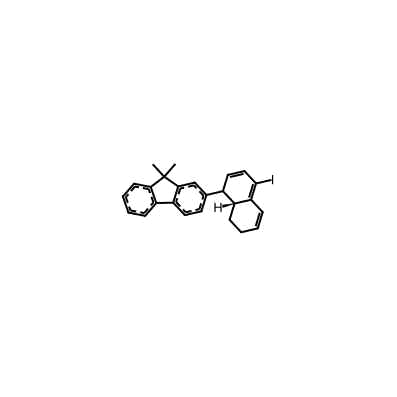 CC1(C)c2ccccc2-c2ccc(C3C=CC(I)=C4C=CCC[C@@H]43)cc21